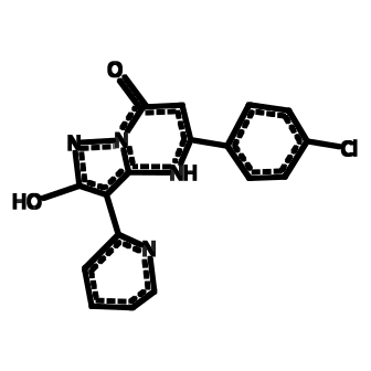 O=c1cc(-c2ccc(Cl)cc2)[nH]c2c(-c3ccccn3)c(O)nn12